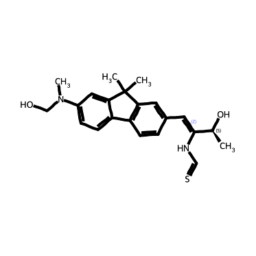 C[C@H](O)/C(=C/c1ccc2c(c1)C(C)(C)c1cc(N(C)CO)ccc1-2)NC=S